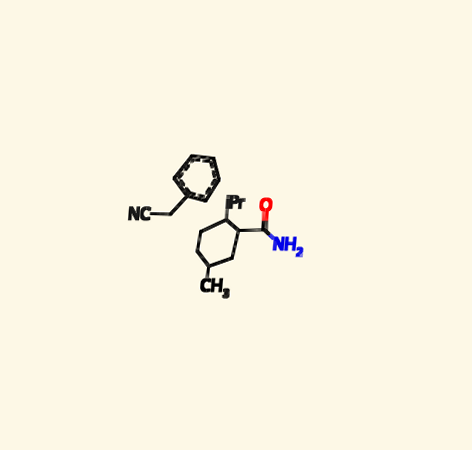 CC1CCC(C(C)C)C(C(N)=O)C1.N#CCc1ccccc1